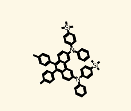 Cc1ccc(-c2c(-c3ccc(C)cc3)c3ccc(N(c4ccccc4)c4ccc([Si](C)(C)C)cc4)cc3c3cc(N(c4ccccc4)c4ccc([Si](C)(C)C)cc4)ccc23)cc1